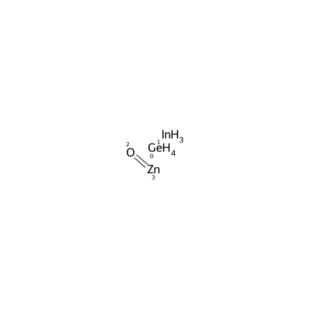 [GeH4].[InH3].[O]=[Zn]